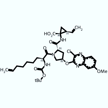 C=CCCCCC[C@H](NC(=O)OC(C)(C)C)C(=O)N1C[C@H](Oc2nc3cc(OC)ccc3nc2Cl)C[C@H]1C(=O)N[C@]1(C(=O)O)C[C@H]1C=C